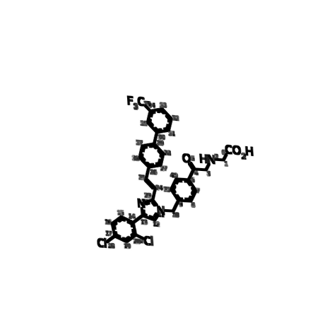 O=C(O)CNCC(=O)c1ccc(Cn2cc(-c3ccc(Cl)cc3Cl)nc2/C=C/c2ccc(-c3cccc(C(F)(F)F)c3)cc2)cc1